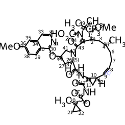 COC[C@@H]1C[C@H](C)CC/C=C\[C@@H]2C[C@@]2(C(=O)NS(=O)(=O)C2(C)CC2)NC(=O)[C@@H]2C[C@@H](Oc3nccc4cc(OC)ccc34)CN2C(=O)[C@H]1N(C(=O)O)C(C)(C)C(F)(F)F